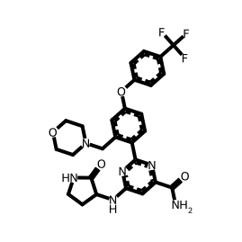 NC(=O)c1cc(NC2CCNC2=O)nc(-c2ccc(Oc3ccc(C(F)(F)F)cc3)cc2CN2CCOCC2)n1